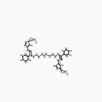 C=C1C=CC(/C=N/N(CCCCCCCCCCN(/N=C/C2=CC(=C)C=C2)c2ccccc2)c2ccccc2)=C1